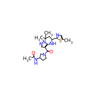 CC(=O)NC1CCN(C(=O)c2cnn3c2NC(c2ncc(C)s2)CC3(C)C)C1